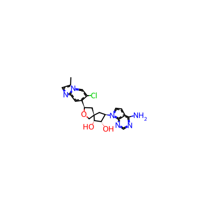 Cc1cnc2cc([C@H]3C[C@@]4(CO3)C[C@@H](n3ccc5c(N)ncnc53)[C@H](O)[C@@H]4O)c(Cl)cn12